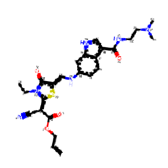 C=CCOC(=O)C(C#N)=c1sc(=CNc2ccc3c(C(=O)NCCN(C)C)c[nH]c3c2)c(=O)n1CC